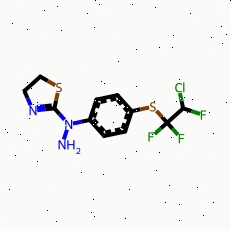 NN(C1=NCCS1)c1ccc(SC(F)(F)C(F)Cl)cc1